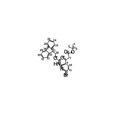 CC(C)(C)OC(=O)CCc1ccc(Br)nc1NC(=O)OCC1c2ccccc2-c2ccccc21